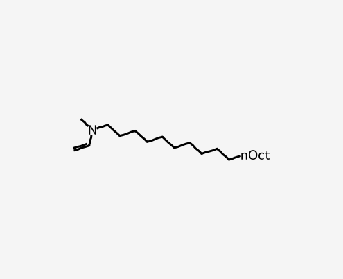 C=CN(C)CCCCCCCCCCCCCCCCCC